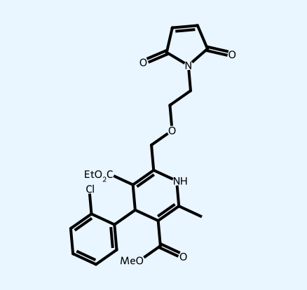 CCOC(=O)C1=C(COCCN2C(=O)C=CC2=O)NC(C)=C(C(=O)OC)C1c1ccccc1Cl